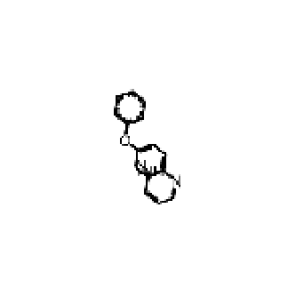 C1=CC23NCN=C2C(Oc2ccccc2)=CC=C3N=C1